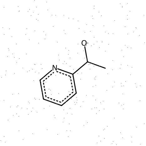 CC([O])c1ccccn1